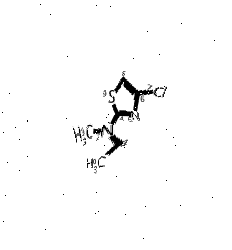 CCN(C)c1nc(Cl)cs1